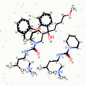 CNC[C@H](CC(C)C)NC(=O)N1CCCCC1.CNC[C@H](CC(C)C)NC(=O)N1CCC[C@@H]([C@@](O)(CCCCOC)c2cccc(F)c2Oc2ccccc2C)C1